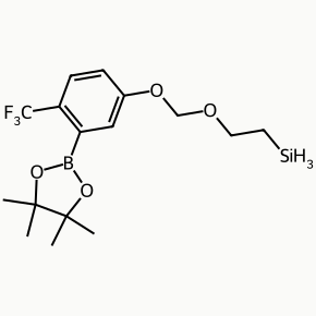 CC1(C)OB(c2cc(OCOCC[SiH3])ccc2C(F)(F)F)OC1(C)C